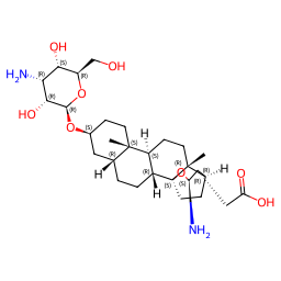 C[C@]12CC[C@H](O[C@@H]3O[C@H](CO)[C@@H](O)[C@@H](N)[C@H]3O)C[C@H]1CC[C@@H]1[C@@H]2CC[C@]2(C)[C@@H]3CC[C@]12O[C@H](N)[C@@H]3CC(=O)O